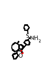 C=C1/C=C\CC=CC2(C3=C1C=C=C3)c1ccccc1Oc1ccc(-c3ccc(C(N)SCc4ccccc4)cc3)cc12